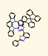 c1ccc(-c2nc3cccc(-c4nc(-c5cccc6c5-c5ccccc5C65c6ccccc6-c6ccccc65)nc(-n5c6ccccc6c6ccc7c8ccccc8n(-c8ccccc8)c7c65)n4)c3o2)cc1